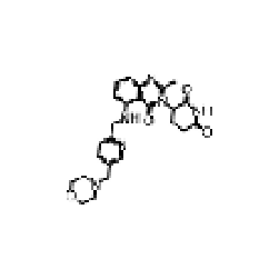 Cc1nc2cccc(NCc3ccc(CN4CCOCC4)cn3)c2c(=O)n1C1CCC(=O)NC1=O